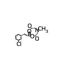 CN1CC(=O)OB(C=Cc2cccc(Cl)c2)OC(=O)C1